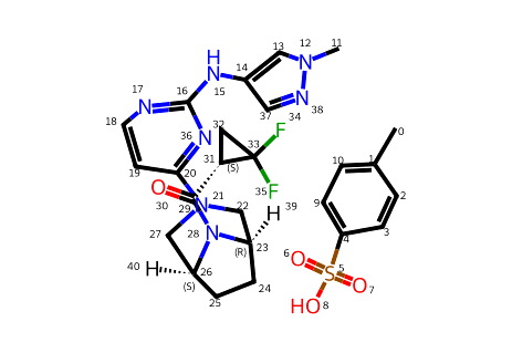 Cc1ccc(S(=O)(=O)O)cc1.Cn1cc(Nc2nccc(N3C[C@H]4CC[C@@H](C3)N4C(=O)[C@@H]3CC3(F)F)n2)cn1